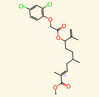 C=C(C)C(CCC(C)C/C=C(\C)C(=O)OC)OC(=O)COc1ccc(Cl)cc1Cl